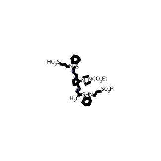 C=C(/C=C/C1=C(N2CCN(C(=O)OCC)CC2)C(=C/C=C2\Sc3ccccc3N2CCCS(=O)(=O)O)/CC1)Sc1ccccc1NCCCS(=O)(=O)O